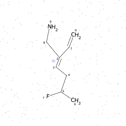 C=C/C(=C\CC(C)F)CN